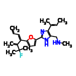 C=C/C=C(\C(=C)C(C)(C)F)c1ccc(-c2nc(/C(C)=C/C)c(CNC)[nH]2)o1